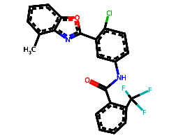 Cc1cccc2oc(-c3cc(NC(=O)c4ccccc4C(F)(F)F)ccc3Cl)nc12